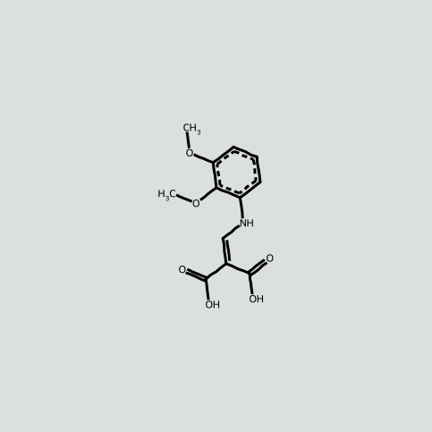 COc1cccc(NC=C(C(=O)O)C(=O)O)c1OC